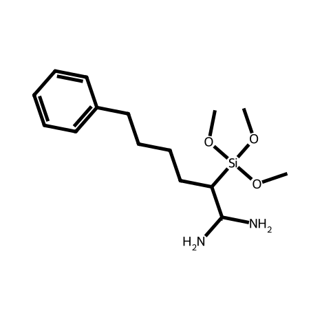 CO[Si](OC)(OC)C(CCCCc1ccccc1)[C](N)N